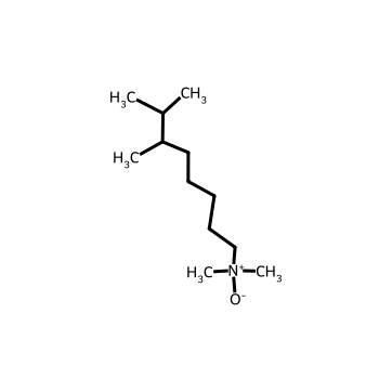 CC(C)C(C)CCCCC[N+](C)(C)[O-]